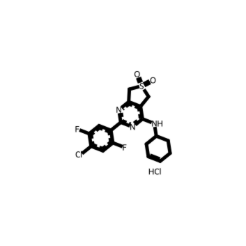 Cl.O=S1(=O)Cc2nc(-c3cc(F)c(Cl)cc3F)nc(NC3CC=CCC3)c2C1